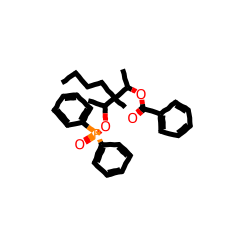 CCCCC(C)(C(C)OC(=O)c1ccccc1)C(C)OP(=O)(c1ccccc1)c1ccccc1